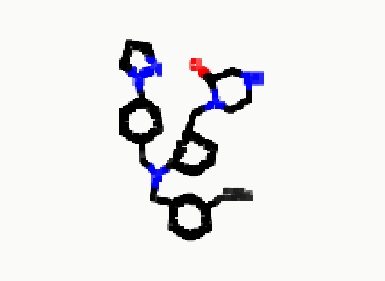 COc1cccc(CN(Cc2ccc(-n3cccn3)cc2)c2cccc(CN3CCNCC3=O)c2)c1